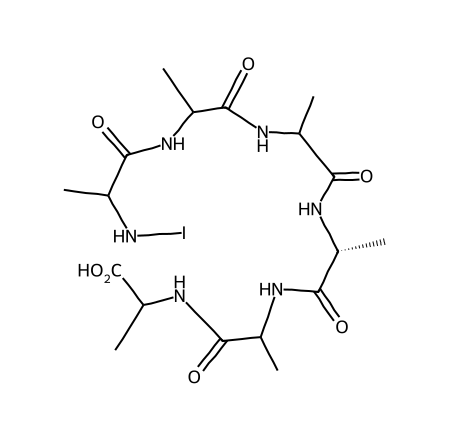 CC(NC(=O)C(C)NC(=O)[C@@H](C)NC(=O)C(C)NC(=O)C(C)NC(=O)C(C)NI)C(=O)O